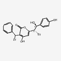 CCC(c1ccccc1)c1c(O)cc([C@@H](CC)[C@@H](O)c2ccc(O)cc2)oc1=O